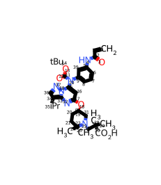 C=CC(=O)Nc1cccc(N(C(=O)OC(C)(C)C)c2cc(O[C@@H]3CCC(C)(C)N(CC(C)(C)C(=O)O)C3)nc3c(C(C)C)cnn23)c1